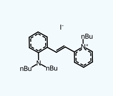 CCCCN(CCCC)c1ccccc1C=Cc1cccc[n+]1CCCC.[I-]